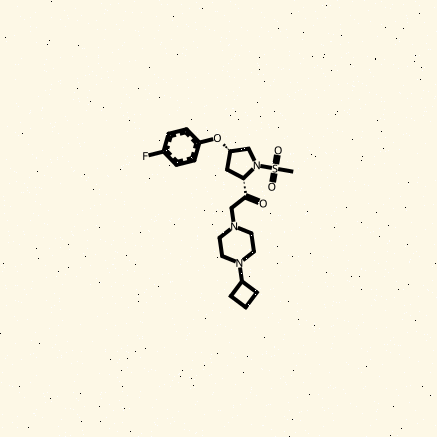 CS(=O)(=O)N1C[C@@H](Oc2ccc(F)cc2)C[C@H]1C(=O)CN1CCN(C2CCC2)CC1